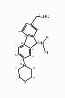 CCN(CC)C1c2cc(CC=O)ccc2-c2ccc(N3CCCCC3)cc21